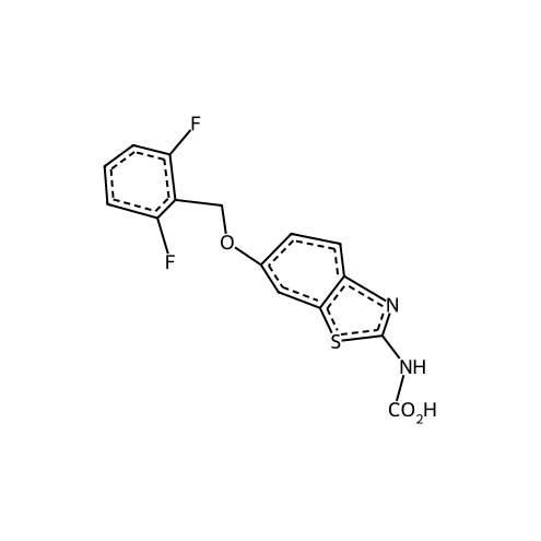 O=C(O)Nc1nc2ccc(OCc3c(F)cccc3F)cc2s1